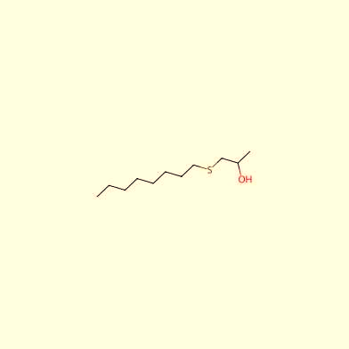 CCCCCCCCSCC(C)O